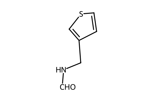 O=CNCc1ccsc1